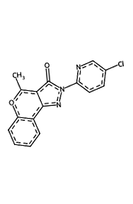 Cc1oc2ccccc2c2nn(-c3ccc(Cl)cn3)c(=O)c1-2